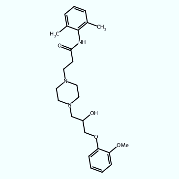 COc1ccccc1OCC(O)CN1CCN(CCC(=O)Nc2c(C)cccc2C)CC1